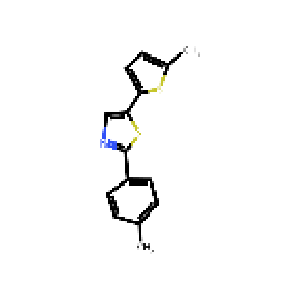 Cc1ccc(-c2ncc(-c3ccc(C)s3)s2)cc1